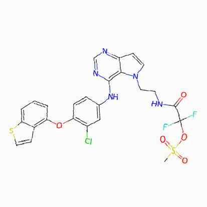 CS(=O)(=O)OC(F)(F)C(=O)NCCn1ccc2ncnc(Nc3ccc(Oc4cccc5sccc45)c(Cl)c3)c21